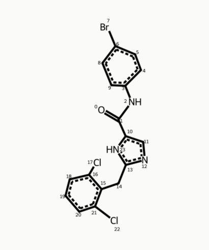 O=C(Nc1ccc(Br)cc1)c1cnc(Cc2c(Cl)cccc2Cl)[nH]1